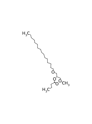 CCCCCCCCCCCCCCCCOCC(COC)OC(=O)CCC